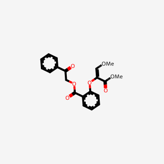 COC=C(Oc1ccccc1C(=O)OCC(=O)c1ccccc1)C(=O)OC